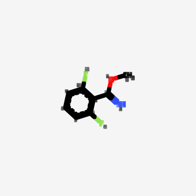 COC(=N)c1c(F)cccc1F